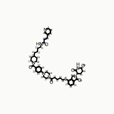 O=C(/C=C/c1cccnc1)NCCCCC1CCN(C(=O)c2ccc(N3CCN(C(=O)CCCCSc4cccc5c4CN(C4CCC(=O)NC4=O)C5=O)CC3)cc2)CC1